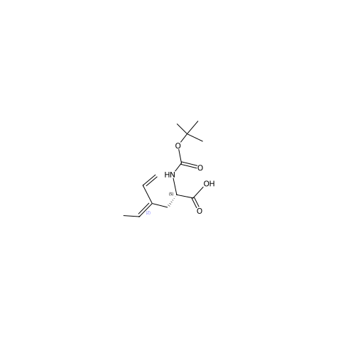 C=C/C(=C\C)C[C@H](NC(=O)OC(C)(C)C)C(=O)O